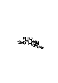 CNS(=O)(=O)NC1CCN(C(=O)OC(C)(C)C)CC1